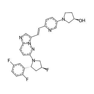 O[C@@H]1CCN(c2ccc(/C=C/c3cnc4ccc(N5C[C@@H](F)C[C@@H]5c5cc(F)ccc5F)nn34)nc2)C1